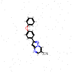 N#Cc1cnc2cc(-c3ccc(Oc4ccccc4)cc3)nn2c1